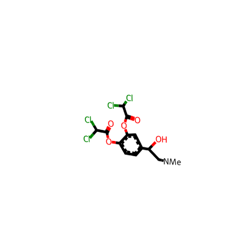 CNCC(O)c1ccc(OC(=O)C(Cl)Cl)c(OC(=O)C(Cl)Cl)c1